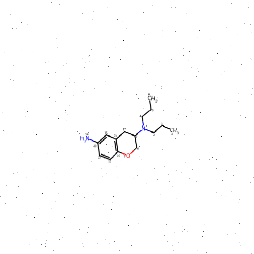 CCCN(CCC)C1COc2ccc(N)cc2C1